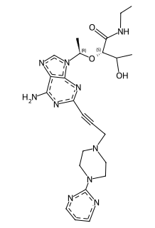 CCNC(=O)[C@@H](O[C@H](C)n1cnc2c(N)nc(C#CCN3CCN(c4ncccn4)CC3)nc21)C(C)O